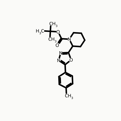 Cc1ccc(-c2nnc(C3CCCCN3C(=O)OC(C)(C)C)o2)cc1